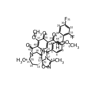 COc1ccc(CN2C(C)=NO[C@]23CC[C@H](C)N2C[C@H]3n3cc(C(=O)NCc4ccc(F)cc4F)c(=O)c(OC)c3C2=O)cc1